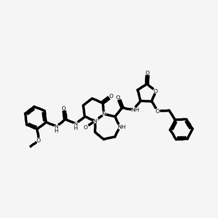 COc1ccccc1NC(=O)NC1CCC(=O)N2C(C(=O)NC3CC(=O)OC3OCc3ccccc3)NCCC[N+]12[O-]